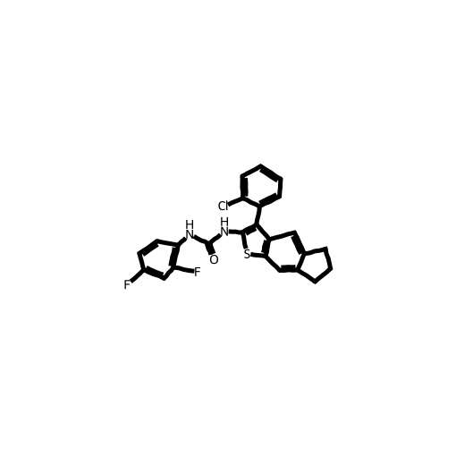 O=C(Nc1ccc(F)cc1F)Nc1sc2cc3c(cc2c1-c1ccccc1Cl)CCC3